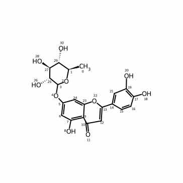 C[C@H]1OC(Oc2cc(O)c3c(=O)cc(-c4ccc(O)c(O)c4)oc3c2)[C@H](O)[C@@H](O)[C@@H]1O